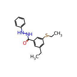 CCSc1cc(CC)cc(C(=O)NNc2ccccc2)c1